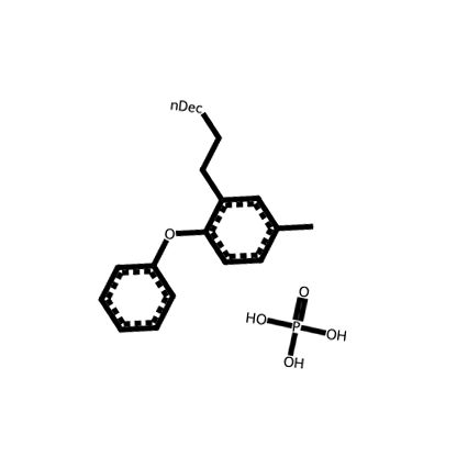 CCCCCCCCCCCCc1cc(C)ccc1Oc1ccccc1.O=P(O)(O)O